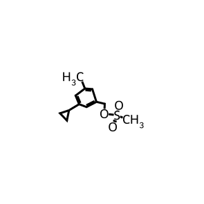 Cc1cc(COS(C)(=O)=O)cc(C2CC2)c1